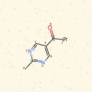 Cc1ncc(C(=O)C(C)C)cn1